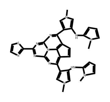 Cn1cc(Nc2cccn2C)c(-c2nc3nc(-c4nccs4)nc4nc(-c5cn(C)cc5Nc5cccn5C)c5ccc2c5n34)c1